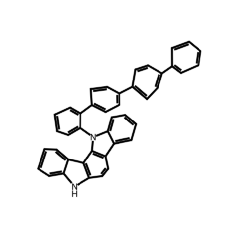 c1ccc(-c2ccc(-c3ccc(-c4ccccc4-n4c5ccccc5c5ccc6[nH]c7ccccc7c6c54)cc3)cc2)cc1